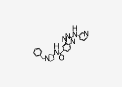 O=C(NC1CCN(Cc2ccccc2)C1)c1ccc2nc(Nc3cccnc3)nnc2c1